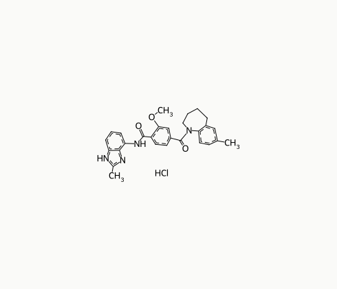 COc1cc(C(=O)N2CCCCc3cc(C)ccc32)ccc1C(=O)Nc1cccc2[nH]c(C)nc12.Cl